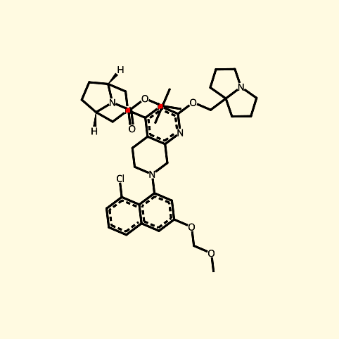 COCOc1cc(N2CCc3c(nc(OCC45CCCN4CCC5)nc3N3C[C@H]4CC[C@@H](C3)N4C(=O)OC(C)(C)C)C2)c2c(Cl)cccc2c1